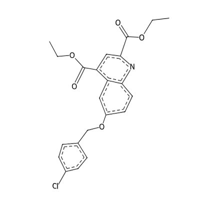 CCOC(=O)c1cc(C(=O)OCC)c2cc(OCc3ccc(Cl)cc3)ccc2n1